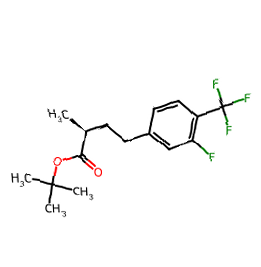 C[C@@H](CCc1ccc(C(F)(F)F)c(F)c1)C(=O)OC(C)(C)C